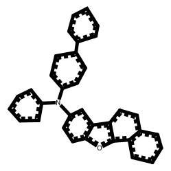 c1ccc(-c2ccc(N(c3ccccc3)c3ccc4oc5c6ccccc6ccc5c4c3)cc2)cc1